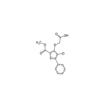 COC(=O)c1sc(-c2ccccc2)c(Cl)c1OCC(=O)O